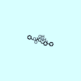 CC(CO)(CC(N)Cc1ccc(-c2ccccc2)cc1)C(=O)OCc1ccccc1